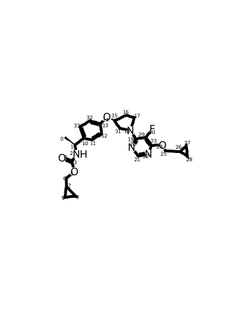 C[C@H](NC(=O)OCC1CC1)c1ccc(O[C@@H]2CCN(c3ncnc(OCC4CC4)c3F)C2)cc1